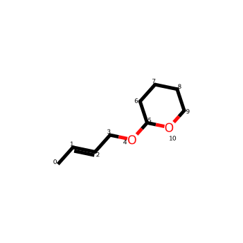 C/C=C/COC1CCCCO1